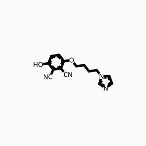 N#Cc1c(O)ccc(OCCCCn2ccnc2)c1C#N